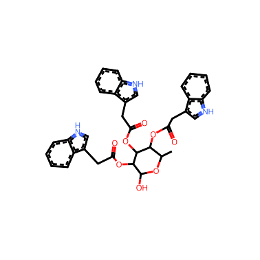 CC1OC(O)C(OC(=O)Cc2c[nH]c3ccccc23)C(OC(=O)Cc2c[nH]c3ccccc23)C1OC(=O)Cc1c[nH]c2ccccc12